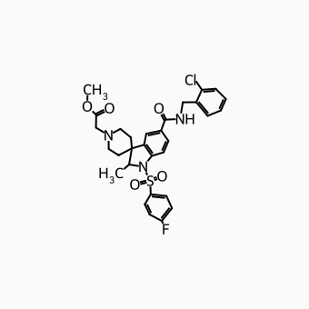 COC(=O)CN1CCC2(CC1)c1cc(C(=O)NCc3ccccc3Cl)ccc1N(S(=O)(=O)c1ccc(F)cc1)C2C